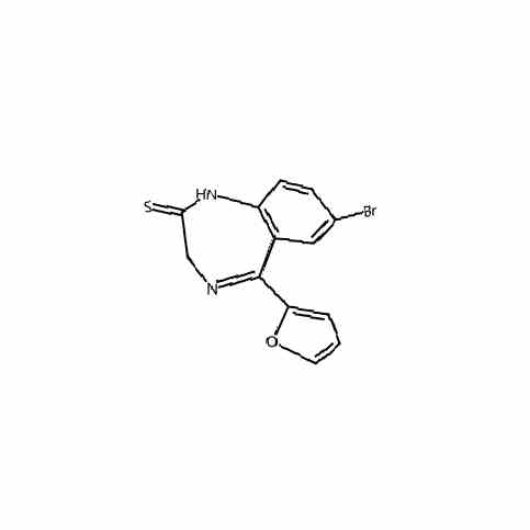 S=C1CN=C(c2ccco2)c2cc(Br)ccc2N1